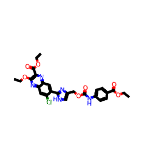 CCOC(=O)c1ccc(NC(=O)OCc2c[nH]c(-c3cc4nc(C(=O)OCC)c(OCC)nc4cc3Cl)n2)cc1